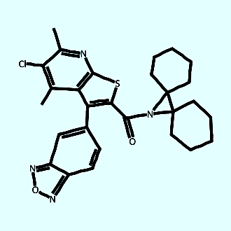 Cc1nc2sc(C(=O)N3C4(CCCCC4)C34CCCCC4)c(-c3ccc4nonc4c3)c2c(C)c1Cl